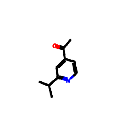 CC(=O)c1ccnc(C(C)C)c1